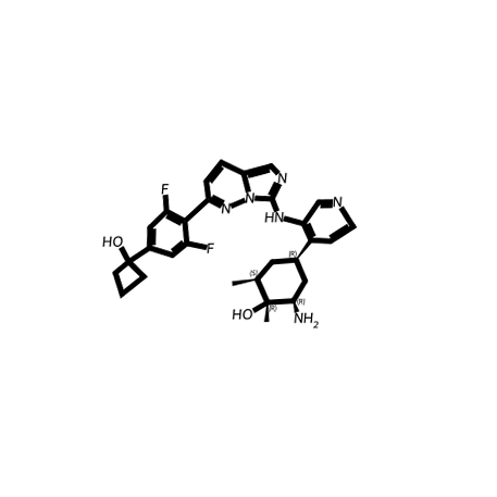 C[C@H]1C[C@@H](c2ccncc2Nc2ncc3ccc(-c4c(F)cc(C5(O)CCC5)cc4F)nn23)C[C@@H](N)[C@]1(C)O